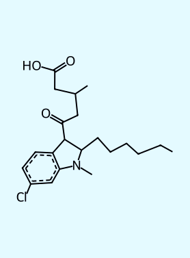 CCCCCCC1C(C(=O)CC(C)CC(=O)O)c2ccc(Cl)cc2N1C